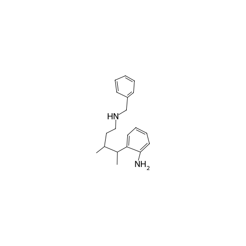 CC(CCNCc1ccccc1)C(C)c1ccccc1N